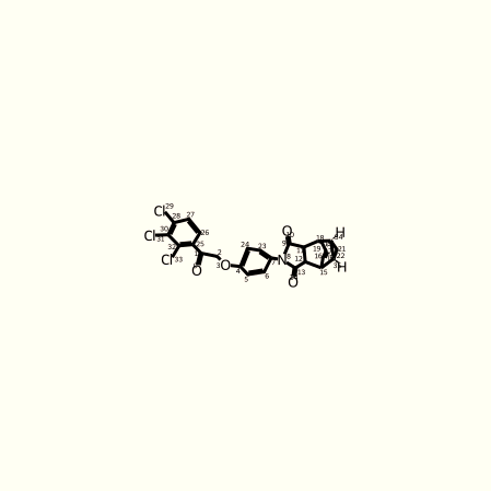 O=C(COc1ccc(N2C(=O)C3C(C2=O)C2C=CCC3[C@H]3C[C@@H]23)cc1)c1ccc(Cl)c(Cl)c1Cl